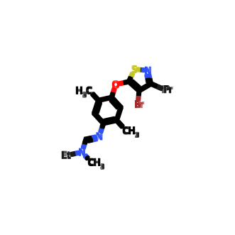 CCN(C)C=Nc1cc(C)c(Oc2snc(C(C)C)c2Br)cc1C